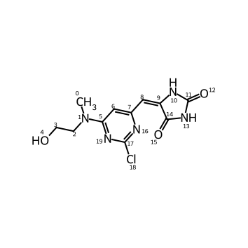 CN(CCO)c1cc(C=C2NC(=O)NC2=O)nc(Cl)n1